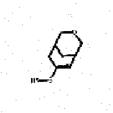 SSC1=CC2COCC(C1)C2